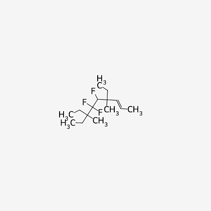 CC=CC(C)(CC)C(F)C(F)(F)C(C)(CC)CC